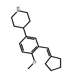 COc1ccc(C2CCNCC2)cc1C=C1CCCC1